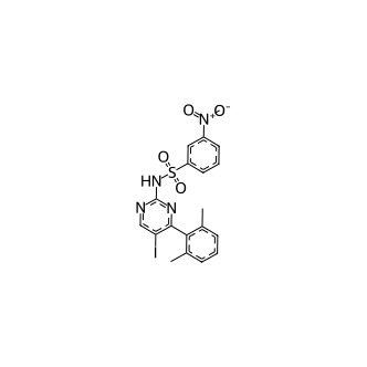 Cc1cccc(C)c1-c1nc(NS(=O)(=O)c2cccc([N+](=O)[O-])c2)ncc1I